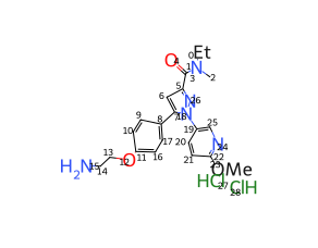 CCN(C)C(=O)c1cc(-c2ccc(OCCN)cc2)n(-c2ccc(OC)nc2)n1.Cl.Cl